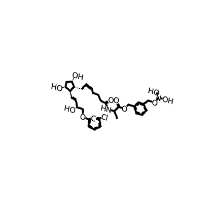 CC(NC(=O)CCC/C=C\C[C@@H]1[C@@H](/C=C/[C@@H](O)COc2cccc(Cl)c2)[C@H](O)C[C@@H]1O)C(=O)OCc1cccc(CON(O)O)c1